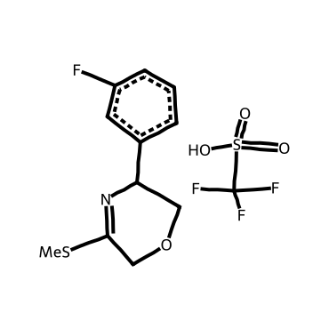 CSC1=NC(c2cccc(F)c2)COC1.O=S(=O)(O)C(F)(F)F